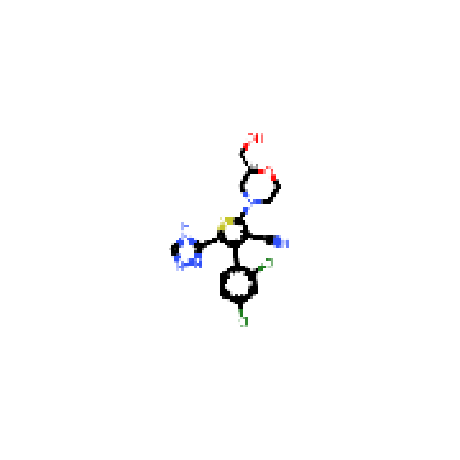 N#Cc1c(N2CCO[C@H](CO)C2)sc(-c2nnc[nH]2)c1-c1ccc(Cl)cc1Cl